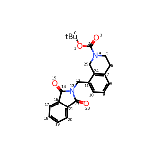 CC(C)(C)OC(=O)N1CCc2cccc(CN3C(=O)c4ccccc4C3=O)c2C1